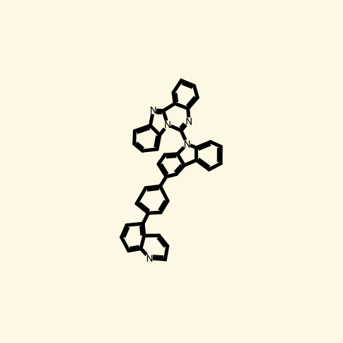 c1cc(-c2ccc(-c3ccc4c(c3)c3ccccc3n4-c3nc4ccccc4c4nc5ccccc5n34)cc2)c2cccnc2c1